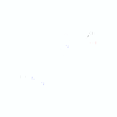 Cn1cnc2cc(C3CCC4(C3)CN(C(=O)[C@H]3C[C@@](C)(O)C3)C4)ccc21